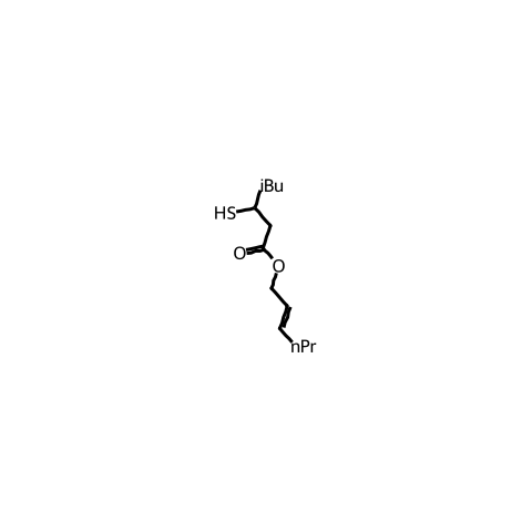 CCCC=CCOC(=O)CC(S)C(C)CC